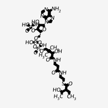 CCC(C(=O)SCCNC(=O)CCNC(=O)C(O)C(C)(C)COP(=O)(O)OP(=O)(O)OC[C@H]1O[C@@H](n2cnc3c(N)ncnc32)[C@H](O)[C@@H]1OP(=O)(O)O)C(C)O